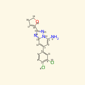 Nc1cc(-c2ccc(Cl)c(Cl)c2)cc2nc(C3=CCCO3)nn12